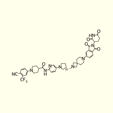 N#Cc1ccc(N2CCC(C(=O)Nc3ccc(N4CC[C@H](CN5CC6(CCN(c7ccc8c(c7)C(=O)N(C7CCC(=O)NC7=O)C8=O)CC6)C5)C4)cn3)CC2)cc1C(F)(F)F